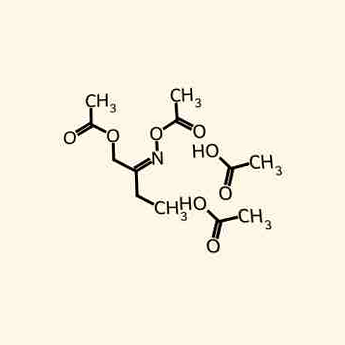 CC(=O)O.CC(=O)O.CCC(COC(C)=O)=NOC(C)=O